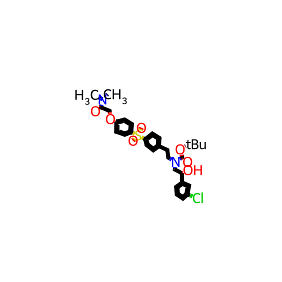 CN(C)C(=O)COc1ccc(S(=O)(=O)c2ccc(CCN(CC(O)c3cccc(Cl)c3)C(=O)OC(C)(C)C)cc2)cc1